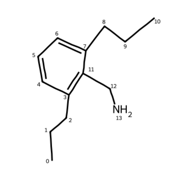 CCCc1cccc(CCC)c1CN